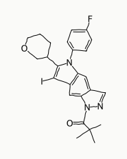 CC(C)(C)C(=O)n1ncc2cc3c(cc21)c(I)c(C1CCCOC1)n3-c1ccc(F)cc1